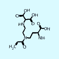 C=CC(=O)N(CCNC(C(=O)O)C(=O)O)CCC([NH])C(=O)O